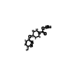 Cc1ccc(OC2CCN(C(=O)OC(C)(C)C)CC2)nn1